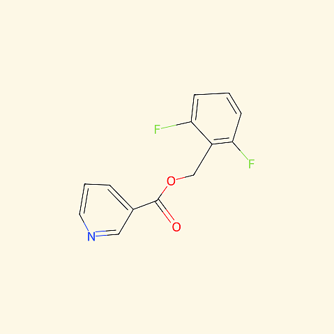 O=C(OCc1c(F)cccc1F)c1cccnc1